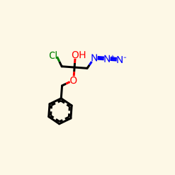 [N-]=[N+]=NCC(O)(CCl)OCc1ccccc1